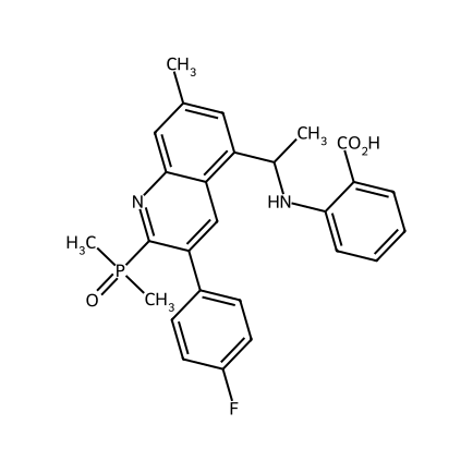 Cc1cc(C(C)Nc2ccccc2C(=O)O)c2cc(-c3ccc(F)cc3)c(P(C)(C)=O)nc2c1